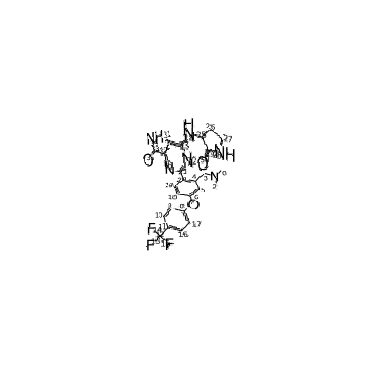 CN(C)Cc1cc(Oc2ccc(C(F)(F)F)cc2)ccc1-c1nc(NC2CCNC2=O)cc(C(N)=O)n1